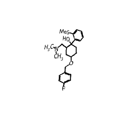 CSc1ccccc1C1(O)CCC(OCc2ccc(F)cc2)CC1CN(C)C